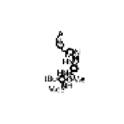 COc1c(NSC)cc(C(C)(C)C)cc1NC(=O)c1ccc(C)c(Nc2ncnc3ccc(CC4CCN(CC5CC5)CC4)nc23)c1